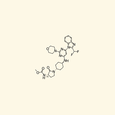 COC(=O)N[C@H]1CCN([C@H]2CC[C@H](Nc3cc(-n4c(C(F)F)nc5ccccc54)nc(N4CCOCC4)n3)CC2)C1=O